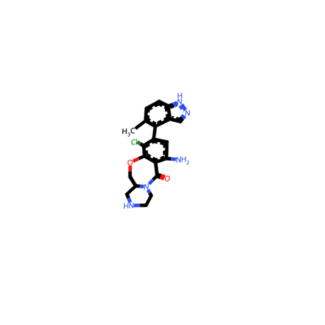 Cc1ccc2[nH]ncc2c1-c1cc(N)c2c(c1Cl)OCC1CNCCN1C2=O